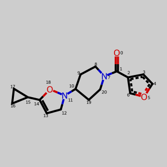 O=C(c1ccoc1)N1CCC(N2CC=C(C3CC3)O2)CC1